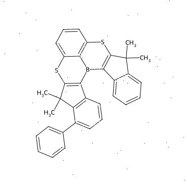 CC1(C)C2=C(B3C4=C(Sc5cccc(c53)S2)C(C)(C)c2c4cccc2-c2ccccc2)c2ccccc21